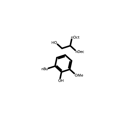 CCCCCCCCCCC(CO)CCCCCCCC.CCCCc1cccc(OC)c1O